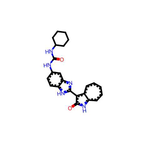 O=C(Nc1ccc2[nH]c(-c3c4cccccc-4[nH]c3=O)nc2c1)NC1CCCCC1